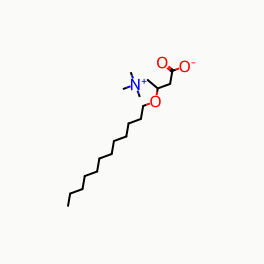 CCCCCCCCCCCCOC(CC(=O)[O-])C[N+](C)(C)C